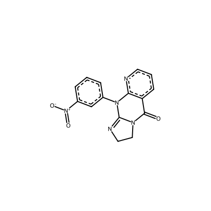 O=C1c2cccnc2N(c2cccc([N+](=O)[O-])c2)C2=NCCN12